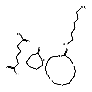 NCCCCCCN.O=C(O)CCCCC(=O)O.O=C1CCCCCCCCCCCCN1.O=C1CCCCCN1